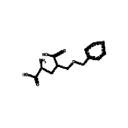 NC(CC(COCc1ccccc1)C(=O)O)C(=O)O